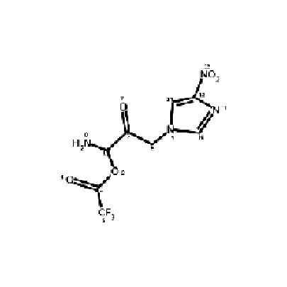 NC(OC(=O)C(F)(F)F)C(=O)Cn1cnc([N+](=O)[O-])c1